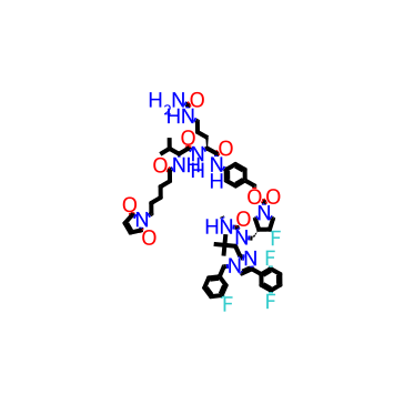 CNC(=O)N(C[C@@H]1CN(C(=O)OCc2ccc(NC(=O)[C@H](CCCNC(N)=O)NC(=O)[C@@H](NC(=O)CCCCCN3C(=O)C=CC3=O)C(C)C)cc2)C[C@@H]1F)[C@@H](c1nc(-c2cc(F)ccc2F)cn1Cc1cccc(F)c1)C(C)(C)C